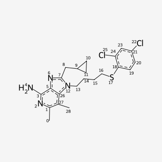 Cc1nc(N)c2nc(CC3CC3)n(CCCCSc3ccc(Cl)cc3Cl)c2c1C